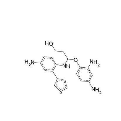 Nc1ccc(OC(CCO)Nc2ccc(N)cc2-c2ccsc2)c(N)c1